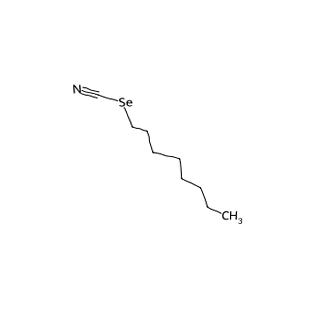 CCCCCCCC[Se]C#N